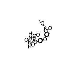 CCOCCN1Cc2cc(Oc3ccc(OC4(CCOC)C(=O)NC(=O)NC4=O)cc3)ccc2C1=O